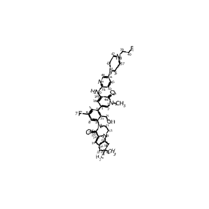 Cn1cc(-c2cc(F)cc(N3CCn4c(cc5c4CC(C)(C)C5)C3=O)c2CO)cc(Nc2ccc(N3CCN(CCF)CC3)cn2)c1=O